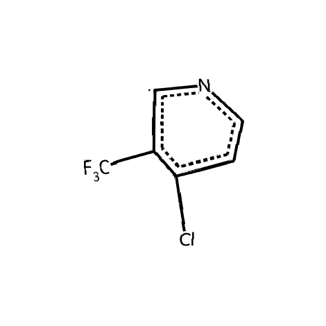 FC(F)(F)c1[c]nccc1Cl